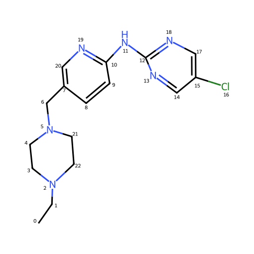 CCN1CCN(Cc2ccc(Nc3ncc(Cl)cn3)nc2)CC1